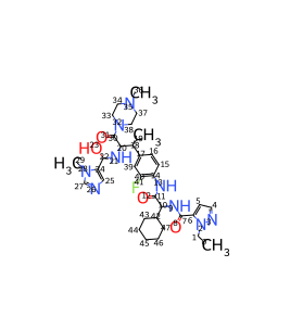 CCn1nccc1C(=O)N[C@H](C(=O)Nc1ccc([C@H](C)[C@@H](NC(O)c2cncn2C)C(=O)N2CCN(C)CC2)cc1F)C1CCCCC1